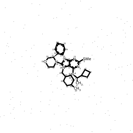 CSc1nc(N[C@H](C)C2CCC2)c2c(n1)nc(N1CCOC[C@H]1c1ccccc1)n2CC1CCC(C)CC1